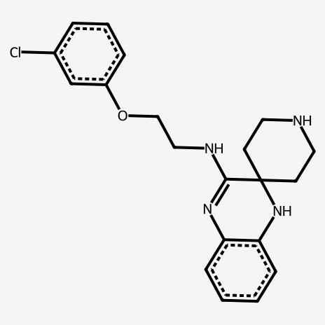 Clc1cccc(OCCNC2=Nc3ccccc3NC23CCNCC3)c1